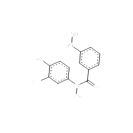 CN(C(=O)c1cccc(NN)c1)c1ccc(O)c(O)c1